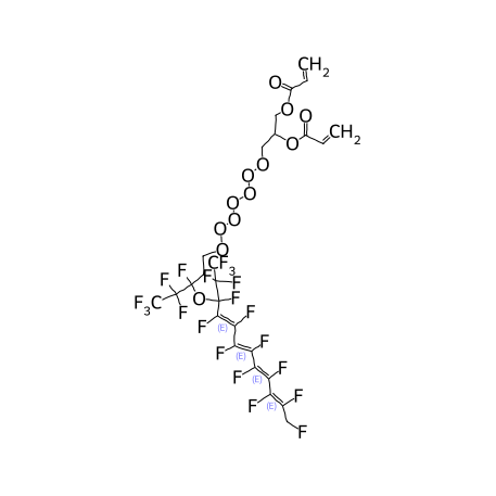 C=CC(=O)OCC(COOOOOOOCCC(F)(OC(F)(/C(F)=C(F)/C(F)=C(F)/C(F)=C(F)/C(F)=C(\F)CF)C(F)(F)C(F)(F)F)C(F)(F)C(F)(F)F)OC(=O)C=C